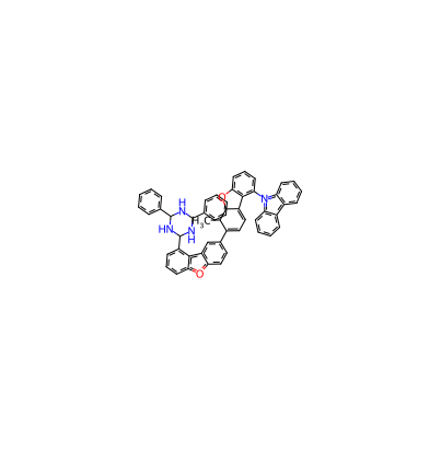 CC1C(c2ccc3oc4cccc(C5NC(c6ccccc6)NC(c6ccccc6)N5)c4c3c2)=CC=C2c3c(cccc3-n3c4ccccc4c4ccccc43)OC21